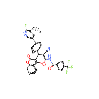 Cc1cc(-c2ccc(C3C(C#N)=C(NC(=O)c4ccc(C(F)(F)F)cc4)Oc4c3c(=O)oc3ccccc43)cc2)cnc1F